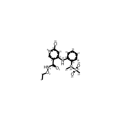 CCONC(=O)c1cnc(Cl)cc1Nc1ccccc1N(C)S(C)(=O)=O